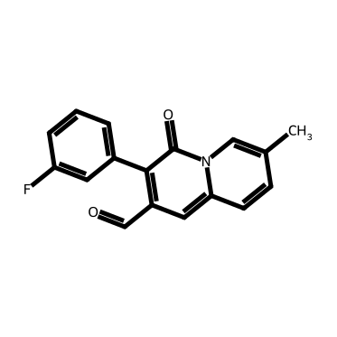 Cc1ccc2cc(C=O)c(-c3cccc(F)c3)c(=O)n2c1